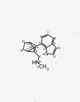 CNCC1=C(c2cccc3ccsc23)C2CCC1C2